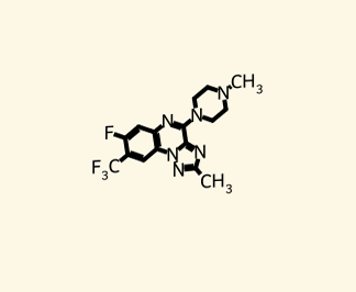 Cc1nc2c(N3CCN(C)CC3)nc3cc(F)c(C(F)(F)F)cc3n2n1